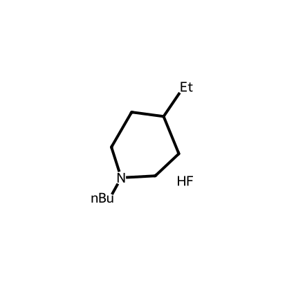 CCCCN1CCC(CC)CC1.F